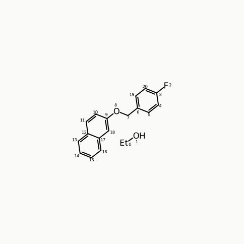 CCO.Fc1ccc(COc2ccc3ccccc3c2)cc1